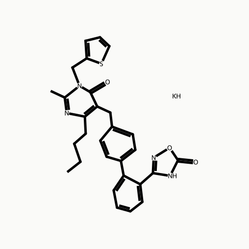 CCCCc1nc(C)n(Cc2cccs2)c(=O)c1Cc1ccc(-c2ccccc2-c2noc(=O)[nH]2)cc1.[KH]